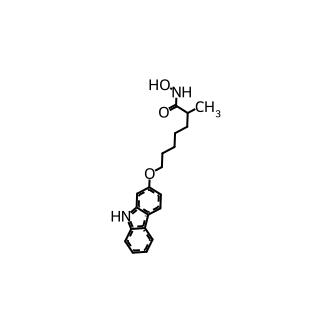 CC(CCCCCOc1ccc2c(c1)[nH]c1ccccc12)C(=O)NO